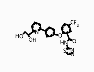 O=C(Nc1nncs1)c1cc(C(F)(F)F)ccc1Oc1ccc(-c2cccc(C(O)CO)n2)cc1